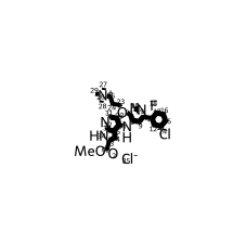 COC(=O)c1cc2c(Nc3cc(-c4cc(Cl)ccc4F)nnc3OCCC[N+](C)(C)C)ccnc2[nH]1.[Cl-]